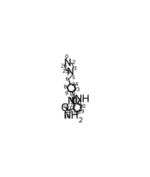 CN1CCN(CCc2ccc(-c3nc4c(C(N)=O)cccc4[nH]3)cc2)CC1